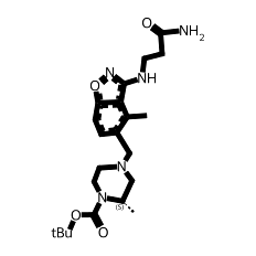 Cc1c(CN2CCN(C(=O)OC(C)(C)C)[C@@H](C)C2)ccc2onc(NCCC(N)=O)c12